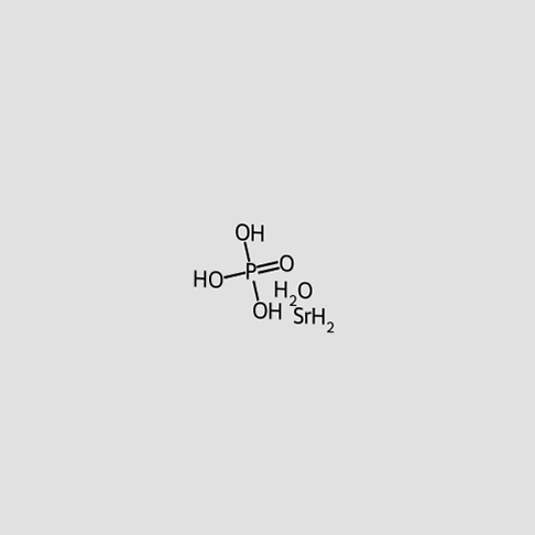 O.O=P(O)(O)O.[SrH2]